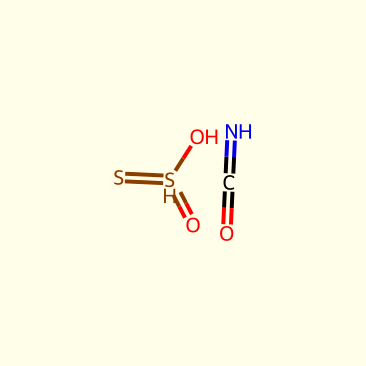 N=C=O.O=[SH](O)=S